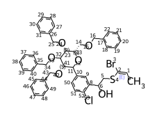 C/C=C(/Br)SCC(O)c1cc(C2O[C@@H](COCc3ccccc3)[C@@H](OCc3ccccc3)C(OCc3ccccc3)[C@H]2OCc2ccccc2)ccc1Cl